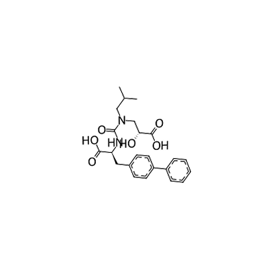 CC(C)CN(C[C@@H](O)C(=O)O)C(=O)N[C@@H](Cc1ccc(-c2ccccc2)cc1)C(=O)O